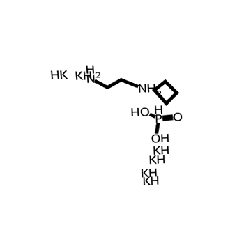 C1CCC1.NCCN.O=[PH](O)O.[KH].[KH].[KH].[KH].[KH].[KH]